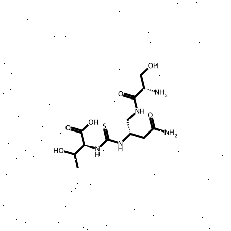 CC(O)[C@H](NC(=S)N[C@H](CNC(=O)[C@@H](N)CO)CC(N)=O)C(=O)O